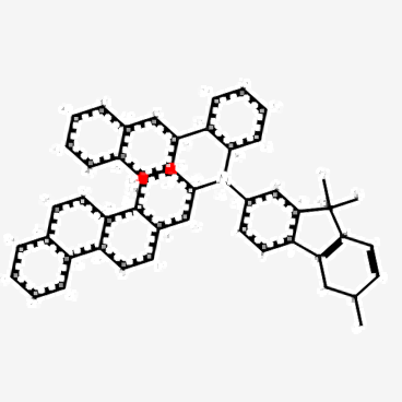 CC1C=CC2=C(C1)c1ccc(N(c3ccc4c(ccc5c6ccccc6ccc45)c3)c3ccccc3-c3ccc4ccccc4c3)cc1C2(C)C